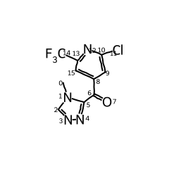 Cn1cnnc1C(=O)c1cc(Cl)nc(C(F)(F)F)c1